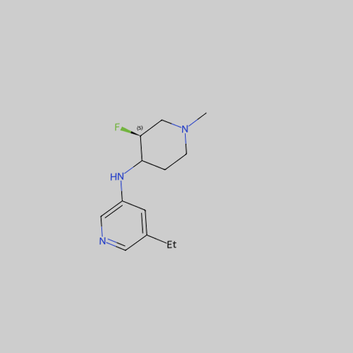 CCc1cncc(NC2CCN(C)C[C@@H]2F)c1